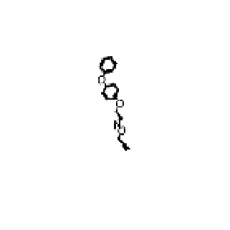 C#CCON=CCOc1ccc(Oc2ccccc2)cc1